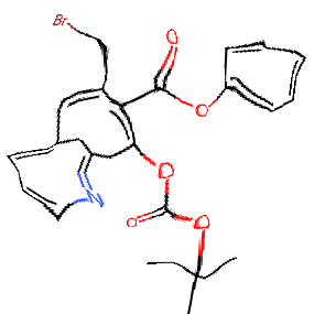 CC(C)(C)OC(=O)Oc1c(C(=O)Oc2ccccc2)c(CBr)cc2cccnc12